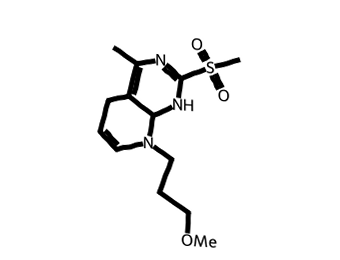 COCCCN1C=CCC2=C(C)N=C(S(C)(=O)=O)NC21